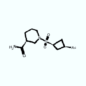 CC(=O)[C@H]1C[C@@H](S(=O)(=O)N2CCC[C@H](C(N)=O)C2)C1